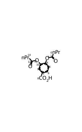 CCCC(=O)Oc1ccc(C(=O)O)cc1OC(=O)CCC